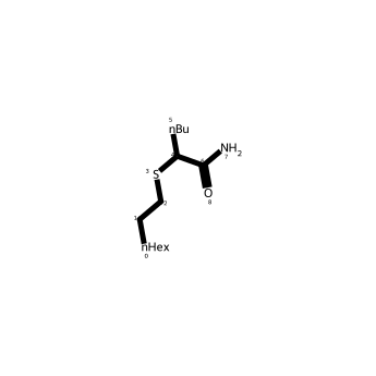 CCCCCCCCSC(CCCC)C(N)=O